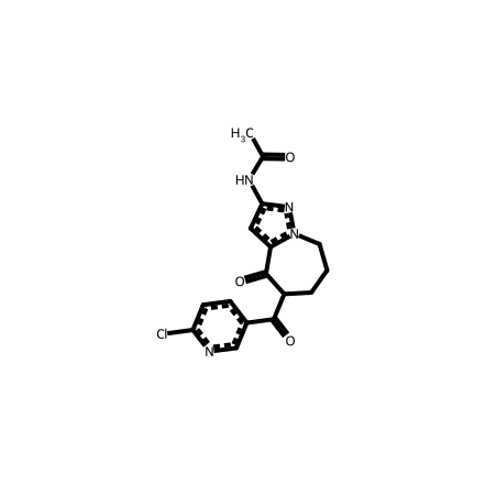 CC(=O)Nc1cc2n(n1)CCCC(C(=O)c1ccc(Cl)nc1)C2=O